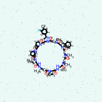 CC[C@H](C)[C@@H]1NC(=O)[C@H](CC(C)C)N(C)C(=O)C[C@@H](C)NC(=O)[C@H](CC(C)C)N(C)C(=O)C2(CCCC2)NC(=O)[C@@H]2CCCN2C(=O)[C@H](CCc2ccc(C(F)(F)F)c(F)c2)NC(=O)CN(C)C(=O)[C@H](CC2CCCCC2)N(C)C(=O)CN(C)C(=O)CN(C)C1=O